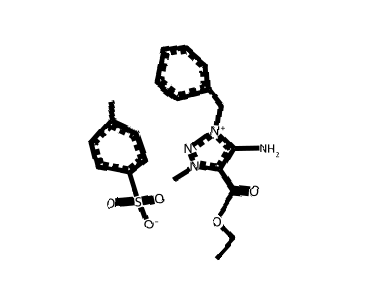 CCOC(=O)c1c(N)[n+](Cc2ccccc2)nn1C.Cc1ccc(S(=O)(=O)[O-])cc1